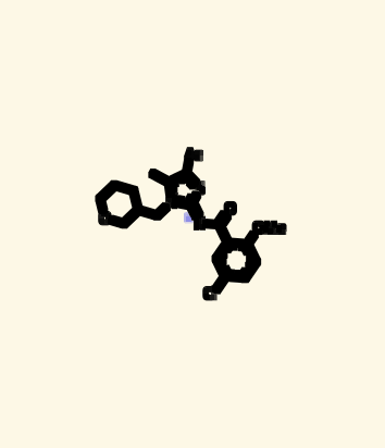 COc1ccc(Cl)cc1C(=O)/N=c1\sc(C(C)=O)c(C)n1CC1CCCOC1